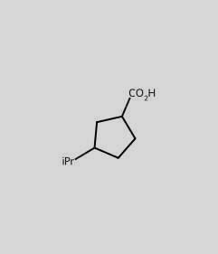 CC(C)C1CCC(C(=O)O)C1